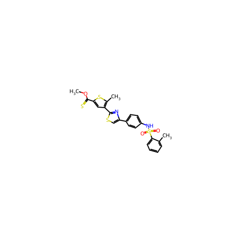 COC(=S)c1cc(-c2nc(-c3ccc(NS(=O)(=O)c4ccccc4C)cc3)cs2)c(C)s1